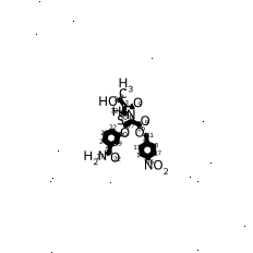 C[C@@H](O)[C@H]1C(=O)N2C(C(=O)OCc3ccc([N+](=O)[O-])cc3)=C(Oc3cccc(C(N)=O)c3)S[C@H]12